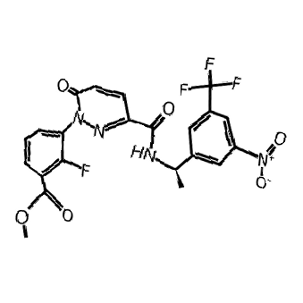 COC(=O)c1cccc(-n2nc(C(=O)N[C@H](C)c3cc([N+](=O)[O-])cc(C(F)(F)F)c3)ccc2=O)c1F